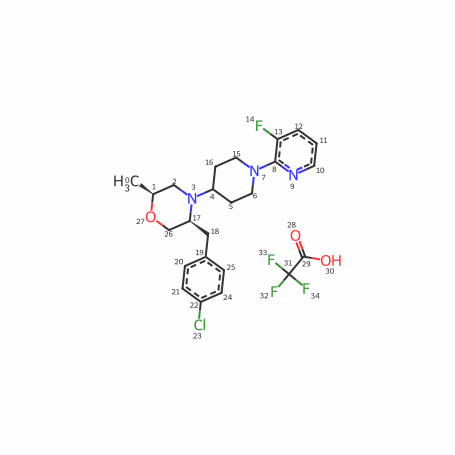 C[C@H]1CN(C2CCN(c3ncccc3F)CC2)[C@@H](Cc2ccc(Cl)cc2)CO1.O=C(O)C(F)(F)F